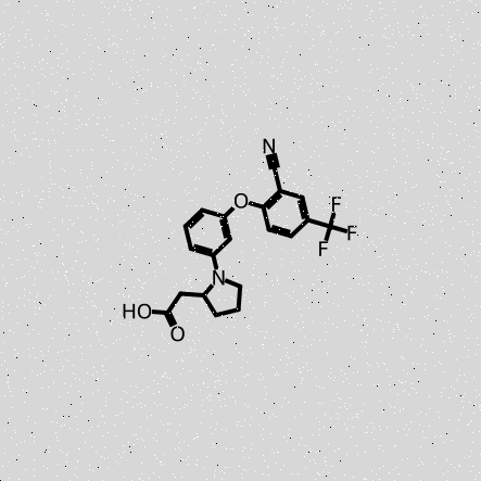 N#Cc1cc(C(F)(F)F)ccc1Oc1cccc(N2CCCC2CC(=O)O)c1